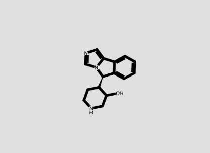 OC1CNCCC1[C@@H]1c2ccccc2-c2cncn21